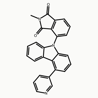 CN1C(=O)c2cccc(-n3c4ccccc4c4c(-c5cccnc5)cccc43)c2C1=O